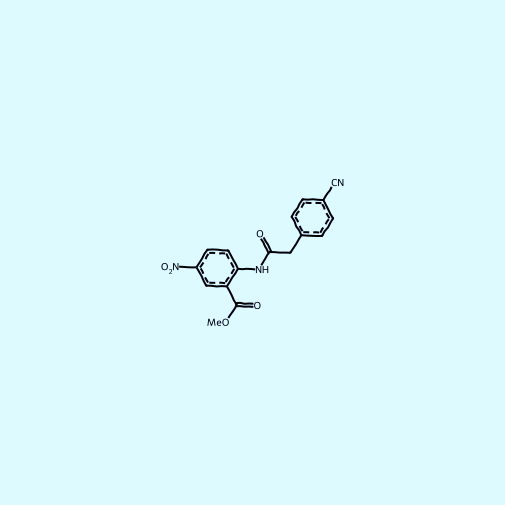 COC(=O)c1cc([N+](=O)[O-])ccc1NC(=O)Cc1ccc(C#N)cc1